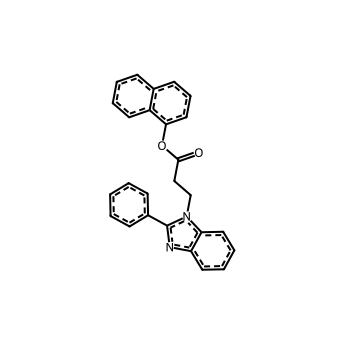 O=C(CCn1c(-c2ccccc2)nc2ccccc21)Oc1cccc2ccccc12